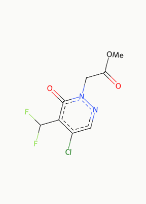 COC(=O)Cn1ncc(Cl)c(C(F)F)c1=O